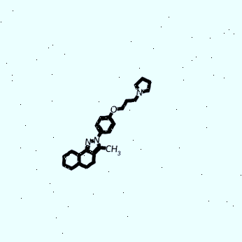 Cc1c2c(nn1-c1ccc(OCCCN3CCCC3)cc1)C1CCCCC1CC2